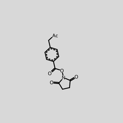 CC(=O)Cc1ccc(C(=O)ON2C(=O)CCC2=O)cc1